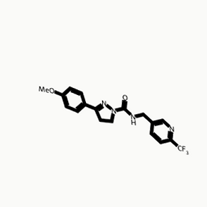 COc1ccc(C2=NN(C(=O)NCc3ccc(C(F)(F)F)nc3)CC2)cc1